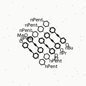 CCCCCOc1ccc(C#Cc2ccc([C@H]3CC[C@H](CCCCC)CC3)cc2)cc1.CCCCC[C@H]1CC[C@H](c2ccc(C#Cc3ccc(OC)cc3)cc2)CC1.CCCCC[C@H]1CC[C@H](c2ccc(C#Cc3ccc(OCC)cc3)cc2)CC1.CCCCC[C@H]1CC[C@H](c2ccc(C#Cc3ccc(OCCC)cc3)cc2)CC1.CCCCC[C@H]1CC[C@H](c2ccc(C#Cc3ccc(OCCCC)cc3)cc2)CC1